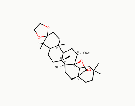 CC(=O)O[C@H]1CC2[C@@]3(C)CCC4(OCCO4)C(C)(C)C3CC[C@@]2(C)[C@]2(C=O)CC[C@@]34CCC(C)(C)CC3[C@@]12OC4=O